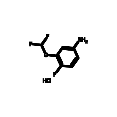 Cl.Nc1ccc(F)c(OC(F)F)c1